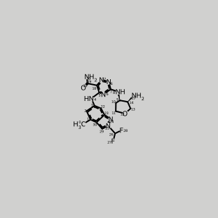 Cc1cc(Nc2nc(N[C@@H]3CCOC[C@@H]3N)nnc2C(N)=O)cc2nn(C(F)F)cc12